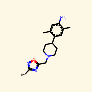 Cc1cc(C2CCN(Cc3nc(C(C)C)no3)CC2)c(C)cc1N